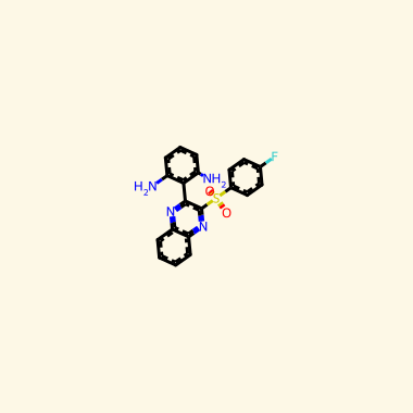 Nc1cccc(N)c1-c1nc2ccccc2nc1S(=O)(=O)c1ccc(F)cc1